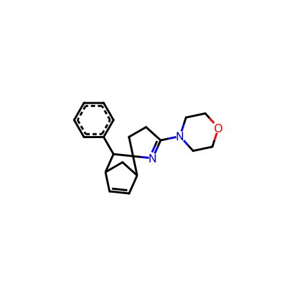 C1=CC2CC1C(c1ccccc1)C21CCC(N2CCOCC2)=N1